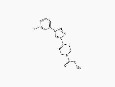 CC(C)(C)OC(=O)N1CC=C(c2cn(-c3cccc(F)c3)nn2)CC1